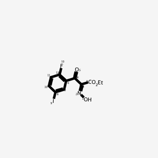 CCOC(=O)C(=NO)C(=O)c1cc(I)ccc1F